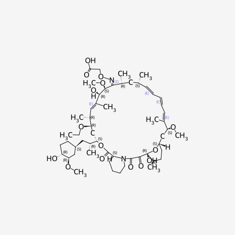 CCO[C@@H]1C[C@@H]([C@H](C)C[C@@H]2CC[C@@H](O)[C@H](OC)C2)OC(=O)[C@@H]2CCCCN2C(=O)C(=O)[C@]2(O)O[C@@H](CC[C@H]2C)C[C@H](OC)/C(C)=C/C=C/C=C/[C@@H](C)C[C@@H](C)/C(=N/OCC(=O)O)[C@H](OC)[C@H](O)/C(C)=C/[C@H]1C